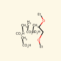 CC(=O)O.CC(=O)O.CC(=O)O.CC(=O)O.CCOCCOCC